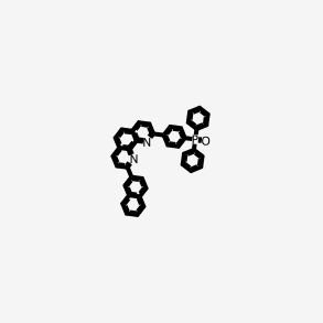 O=P(c1ccccc1)(c1ccccc1)c1ccc(-c2ccc3ccc4ccc(-c5ccc6ccccc6c5)nc4c3n2)cc1